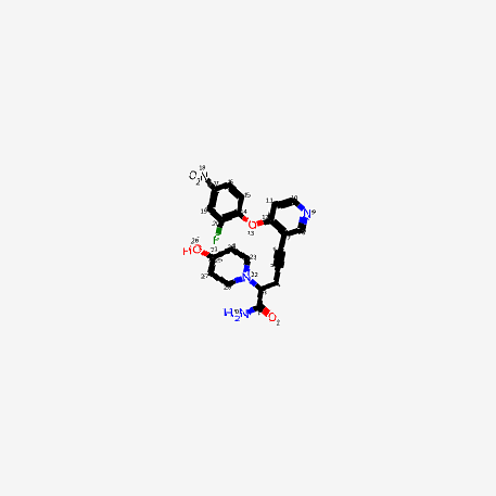 NC(=O)C(CC#Cc1cnccc1Oc1ccc([N+](=O)[O-])cc1F)N1CCC(O)CC1